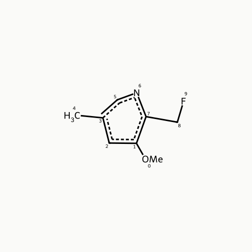 COc1cc(C)cnc1CF